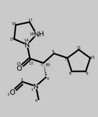 CN(C=O)C[C@@H](CC1CCCC1)C(=O)N1CCCN1